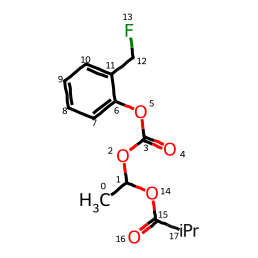 CC(OC(=O)Oc1ccccc1CF)OC(=O)C(C)C